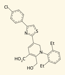 CCc1cccc(CC)c1N1CC(c2nc(-c3ccc(Cl)cc3)cs2)=CC(C(=O)O)=C1CO